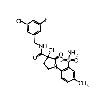 Cc1ccc(N2CCC(O)(C(=O)NCc3cc(F)cc(Cl)c3)C2=O)c(S(N)(=O)=O)c1